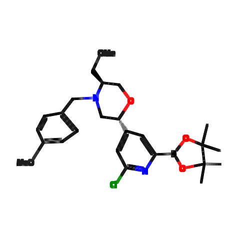 COC[C@H]1CO[C@H](c2cc(Cl)nc(B3OC(C)(C)C(C)(C)O3)c2)CN1Cc1ccc(OC)cc1